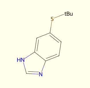 CC(C)(C)Sc1ccc2nc[nH]c2c1